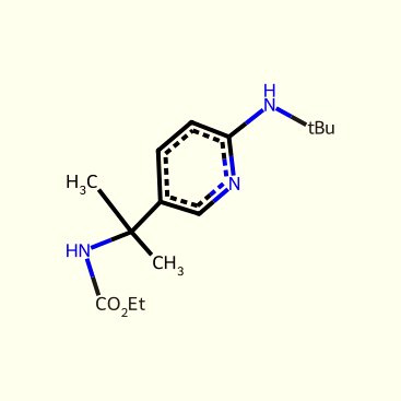 CCOC(=O)NC(C)(C)c1ccc(NC(C)(C)C)nc1